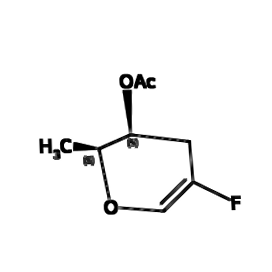 CC(=O)O[C@H]1CC(F)=CO[C@H]1C